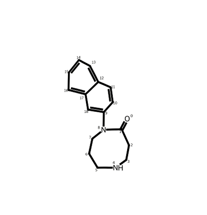 O=C1CCNCCCN1c1ccc2ccccc2c1